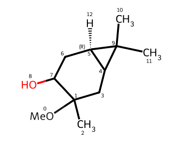 COC1(C)CC2[C@@H](CC1O)C2(C)C